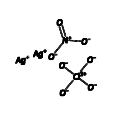 O=[N+]([O-])[O-].[Ag+].[Ag+].[O-][Cl+3]([O-])([O-])[O-]